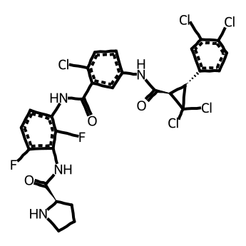 O=C(Nc1ccc(F)c(NC(=O)[C@H]2CCCN2)c1F)c1cc(NC(=O)[C@H]2[C@H](c3ccc(Cl)c(Cl)c3)C2(Cl)Cl)ccc1Cl